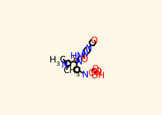 Cc1cc(-c2sc(NC(=O)N3CCN(C4CCOCC4)CC3)nc2-c2cccc(C#N)c2)cc(C)n1.O=CO.O=CO